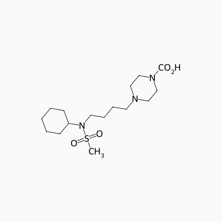 CS(=O)(=O)N(CCCCN1CCN(C(=O)O)CC1)C1CCCCC1